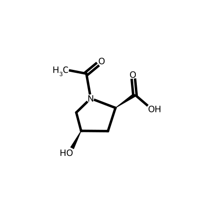 CC(=O)N1C[C@H](O)C[C@@H]1C(=O)O